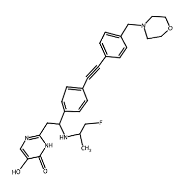 CC(CF)NC(Cc1ncc(O)c(=O)[nH]1)c1ccc(C#Cc2ccc(CN3CCOCC3)cc2)cc1